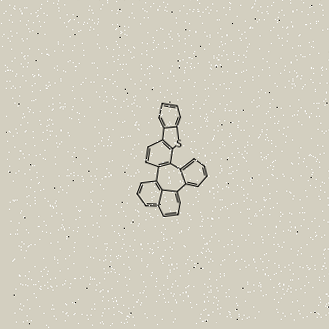 c1ccc2c(c1)-c1c(ccc3c1sc1ccccc13)-c1cccc3cccc-2c13